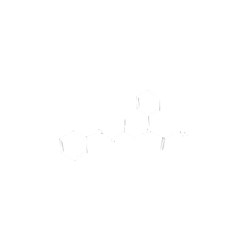 COC(=O)N(CC(Br)=NNc1ccccc1)c1ccccc1